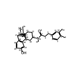 Cc1ccc(CCC(=O)N(C)C2CC[C@@]3(O)[C@H]4Cc5ccc(O)cc5[C@@]3(CCN4C)C2)cc1C